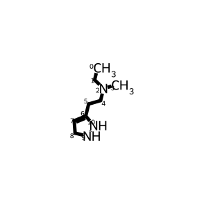 CCN(C)CCC1=CCNN1